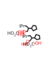 CC(C)CC(COO)C1CCCC1.CC(C)CC(COO)C1CCCC1.O=C(O)O.O=C(O)O